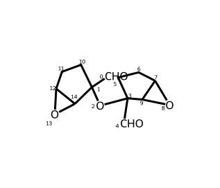 O=CC1(OC2(C=O)CCC3OC32)CCC2OC21